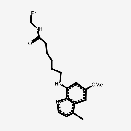 COc1cc(NCCCCCC(=O)NCC(C)C)c2nccc(C)c2c1